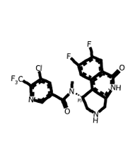 CN(C(=O)c1cnc(C(F)(F)F)c(Cl)c1)[C@H]1CNCc2[nH]c(=O)c3cc(F)c(F)cc3c21